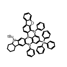 CC(C)(C)N1c2cc3c(cc2C2CCCCC21)N(c1ccccc1)c1cc([Si](c2ccccc2)(c2ccccc2)c2ccccc2)cc2c1B3c1ccc3c(oc4ccccc43)c1N2c1ccccc1